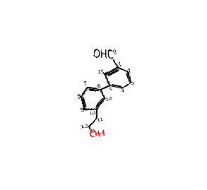 O=Cc1cccc(-c2cccc(CCO)c2)c1